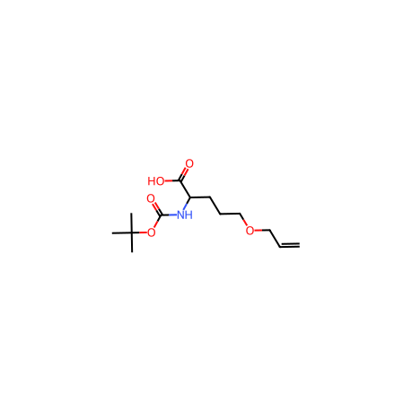 C=CCOCCCC(NC(=O)OC(C)(C)C)C(=O)O